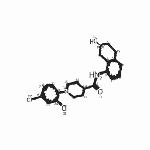 O=C(Nc1cccc2c1C[C@H](O)CC2)C1CCN(c2ccc(Cl)cc2Cl)CC1